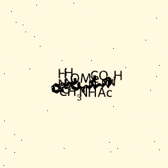 COc1cc(C(CCN(CCCn2ccnc2)CCC(=O)O)NC(C)=O)ccc1NC(=O)Nc1ccccc1C